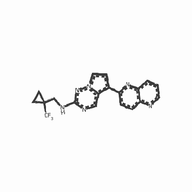 FC(F)(F)C1(CNc2ncc3c(-c4ccc5ncccc5n4)ccn3n2)CC1